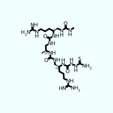 CNC(=O)NC[C@H](CCCNC(=N)N)NC(=O)NC[C@H](C)NC(=O)NC[C@H](CCCNC(=N)N)NC(=O)NNC(N)=S